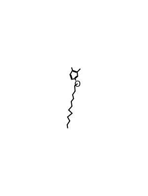 CCCCCCCCCCCCOc1ccc(C)c(C)c1